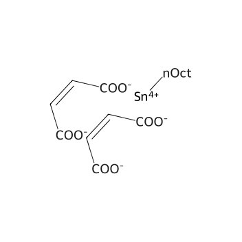 CCCCCCC[CH2][Sn+4].O=C([O-])/C=C\C(=O)[O-].O=C([O-])/C=C\C(=O)[O-]